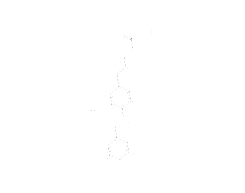 C=C(CCC=Cc1ccc(OCc2ccccc2)c(OC)c1)C(=O)O